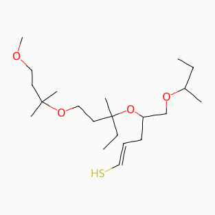 CCC(C)OCC(CC=CS)OC(C)(CC)CCOC(C)(C)CCOC